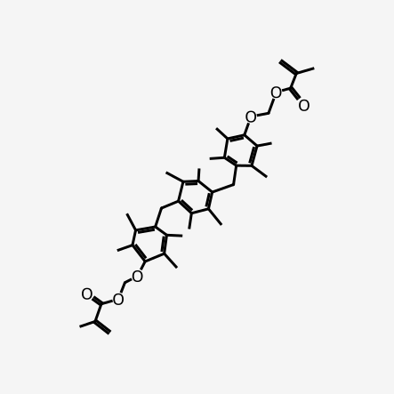 C=C(C)C(=O)OCOc1c(C)c(C)c(Cc2c(C)c(C)c(Cc3c(C)c(C)c(OCOC(=O)C(=C)C)c(C)c3C)c(C)c2C)c(C)c1C